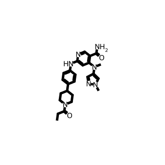 CCC(=O)N1CCC(c2ccc(Nc3cc(N(C)c4cnn(C)c4)c(C(N)=O)cn3)cc2)CC1